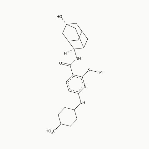 CCCSc1nc(NC2CCC(C(=O)O)CC2)ccc1C(=O)N[C@H]1C2CC3CC1C[C@](O)(C3)C2